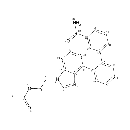 CC(=O)OCCn1cnc2c(-c3ccccc3-c3cccc(C(N)=O)c3)ncnc21